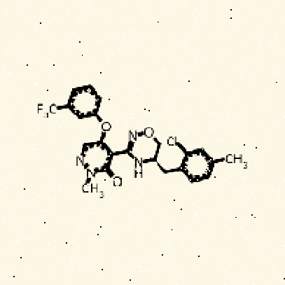 Cc1ccc(C[C@@H]2CON=C(c3c(Oc4cccc(C(F)(F)F)c4)cnn(C)c3=O)N2)c(Cl)c1